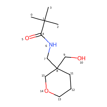 CC(C)(C)C(=O)NCC1(CO)CCCOC1